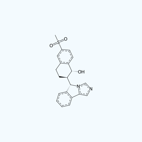 CS(=O)(=O)c1ccc2c(c1)CC[C@H]([C@H]1c3ccccc3-c3cncn31)[C@H]2O